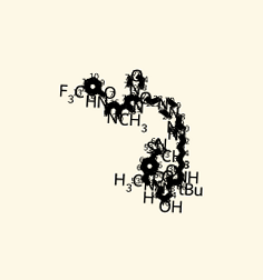 Cc1ncc(NC(=O)c2cccc(C(F)(F)F)c2)cc1-c1cnc(OCCN2CCN(Cc3cn(CCCCCC(=O)N[C@@H](C(=O)N4C[C@H](O)C[C@H]4C(=O)N[C@@H](C)c4ccc(-c5scnc5C)cc4)C(C)(C)C)nn3)CC2)c(N2CCOCC2)c1